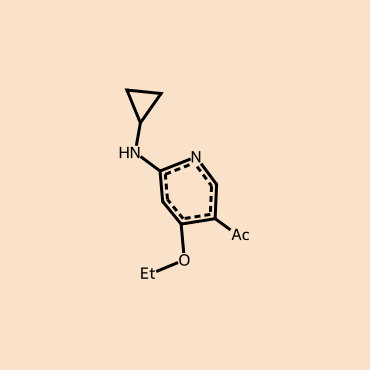 CCOc1cc(NC2CC2)ncc1C(C)=O